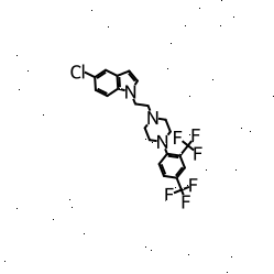 FC(F)(F)c1ccc(N2CCN(CCn3ccc4cc(Cl)ccc43)CC2)c(C(F)(F)F)c1